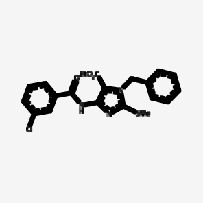 CCOC(=O)c1c(NC(=O)c2cccc(Cl)c2)nc(SC)n1Cc1ccccc1